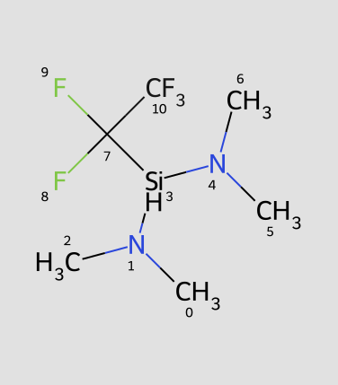 CN(C)[SiH](N(C)C)C(F)(F)C(F)(F)F